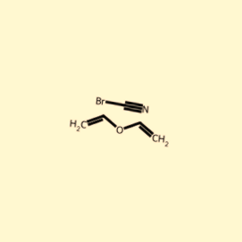 C=COC=C.N#CBr